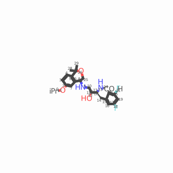 CC(C)Oc1ccc2c(c1)C(NC[C@H](O)[C@H](Cc1cc(F)cc(F)c1)NC(=O)O)COC2(C)C